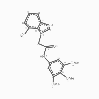 COc1cc(NC(=O)Cn2cnc3cccc(C#N)c32)cc(OC)c1OC